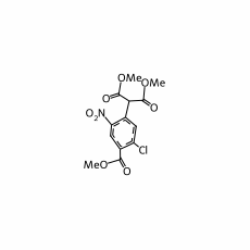 COC(=O)c1cc([N+](=O)[O-])c(C(C(=O)OC)C(=O)OC)cc1Cl